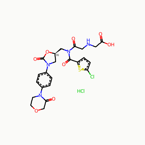 Cl.O=C(O)CNCC(=O)N(C[C@H]1CN(c2ccc(N3CCOCC3=O)cc2)C(=O)O1)C(=O)c1ccc(Cl)s1